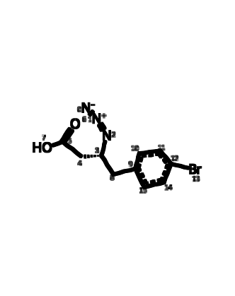 [N-]=[N+]=N[C@@H](CC(=O)O)Cc1ccc(Br)cc1